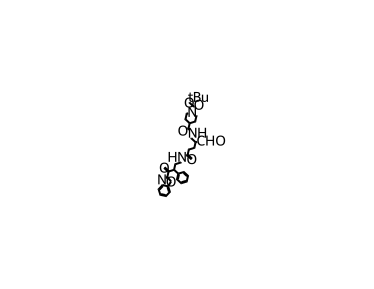 CC(C)(C)OC(=O)N1CCC(C(=O)NCC(C=O)CCC(=O)NCCC(C(=O)c2nc3ccccc3o2)c2ccccc2)CC1